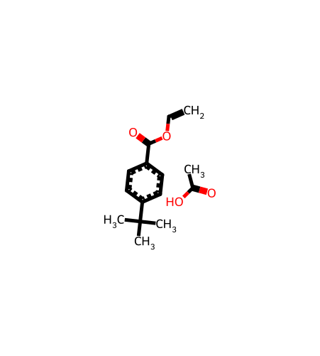 C=COC(=O)c1ccc(C(C)(C)C)cc1.CC(=O)O